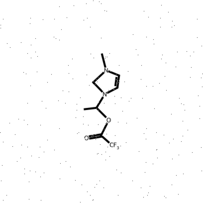 CC(OC(=O)C(F)(F)F)N1C=CN(C)C1